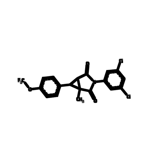 CC12C(=O)N(c3cc(Cl)cc(Cl)c3)C(=O)C1C2c1ccc(OC(F)(F)F)cc1